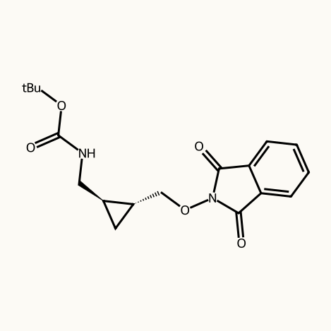 CC(C)(C)OC(=O)NC[C@@H]1C[C@H]1CON1C(=O)c2ccccc2C1=O